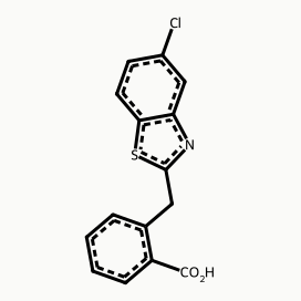 O=C(O)c1ccccc1Cc1nc2cc(Cl)ccc2s1